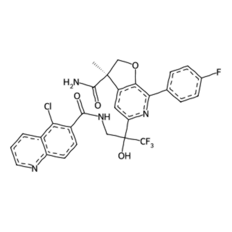 C[C@]1(C(N)=O)COc2c1cc(C(O)(CNC(=O)c1ccc3ncccc3c1Cl)C(F)(F)F)nc2-c1ccc(F)cc1